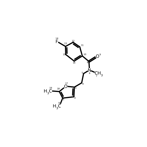 Cc1cc(CCN(C)C(=O)c2ccc(F)cc2)oc1C